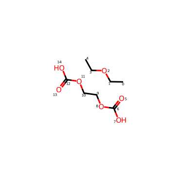 CCOCC.O=C(O)OCCOC(=O)O